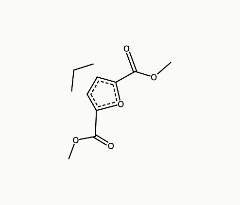 CCC.COC(=O)c1ccc(C(=O)OC)o1